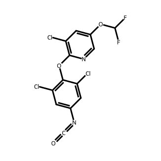 O=C=Nc1cc(Cl)c(Oc2ncc(OC(F)F)cc2Cl)c(Cl)c1